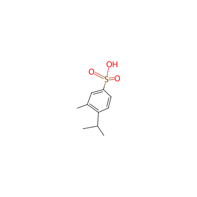 Cc1cc(S(=O)(=O)O)ccc1C(C)C